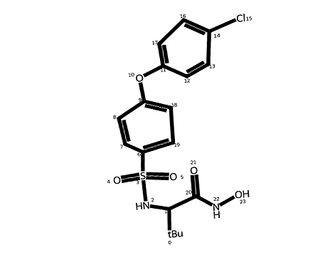 CC(C)(C)C(NS(=O)(=O)c1ccc(Oc2ccc(Cl)cc2)cc1)C(=O)NO